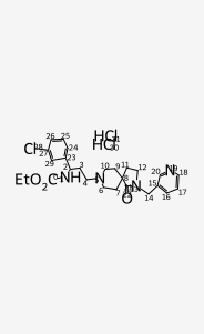 CCOC(=O)NC(CCN1CCC2(CC1)CCN(Cc1cccnc1)C2=O)c1cccc(Cl)c1.Cl.Cl